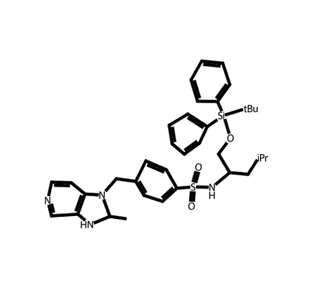 CC(C)CC(CO[Si](c1ccccc1)(c1ccccc1)C(C)(C)C)NS(=O)(=O)c1ccc(CN2c3ccncc3NC2C)cc1